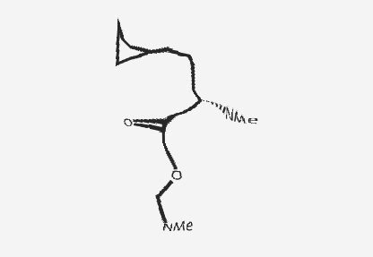 CNCOC(=O)[C@H](CC1CC1)NC